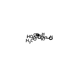 C[C@H]1O[C@@H](n2cc(I)c(NC(=O)OCc3cccnc3)nc2=O)[C@H](O)[C@@H]1O